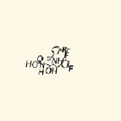 O=C(O)NCC(O)C(Cc1cc(F)cc(F)c1)NC1(c2cccc(Br)c2)CC1